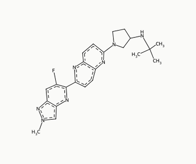 Cn1cc2nc(-c3ccc4nc(N5CCC(NC(C)(C)C)C5)ccc4n3)c(F)cc2n1